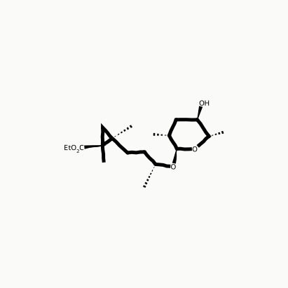 CCOC(=O)[C@@]1(C)C[C@@]1(C)CC[C@@H](C)O[C@@H]1O[C@@H](C)[C@H](O)C[C@H]1C